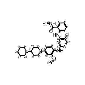 CCNC(=O)c1ccccc1Nc1nc(Nc2ccc(N3CCC(N4CCCCC4)CC3)cc2OC(C)C)ncc1Cl